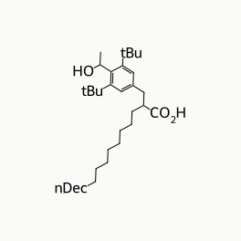 CCCCCCCCCCCCCCCCCCC(Cc1cc(C(C)(C)C)c(C(C)O)c(C(C)(C)C)c1)C(=O)O